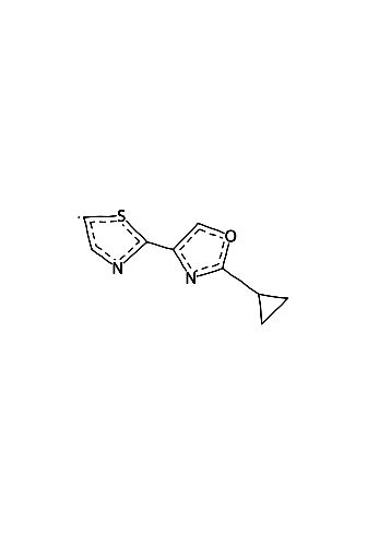 [c]1cnc(-c2coc(C3CC3)n2)s1